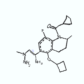 CC1CCc2c(OC3CCC3)c(/C(N)=C/N(C)N)cc(F)c2N1C(=O)C1CC1